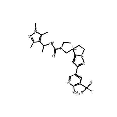 Cc1nn(C)c(C)c1C(C)NC(=O)N1CC[C@@]2(CCn3nc(-c4cnc(N)c(C(F)(F)F)c4)cc32)C1